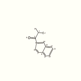 CC(I)C(=O)c1ccc2ccccc2c1